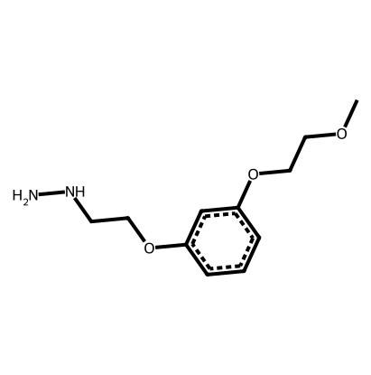 COCCOc1cccc(OCCNN)c1